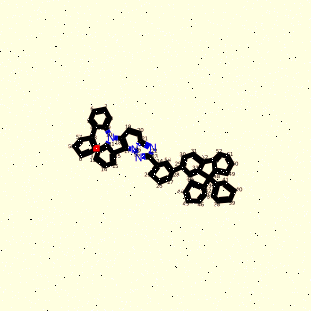 c1ccc(-c2ccccc2-n2c3ccccc3c3c2ccc2nc(-c4cccc(-c5ccc6c(c5)C(c5ccccc5)(c5ccccc5)c5ccccc5-6)c4)nn23)cc1